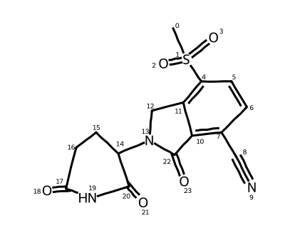 CS(=O)(=O)c1ccc(C#N)c2c1CN(C1CCC(=O)NC1=O)C2=O